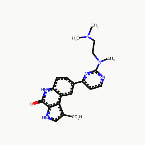 CN(C)CCN(C)c1nccc(-c2ccc3[nH]c(=O)c4[nH]cc(C(=O)O)c4c3c2)n1